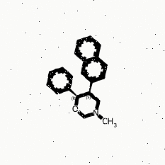 CN1CO[C@@H](c2ccccc2)[C@@H](c2ccc3ccccc3c2)C1